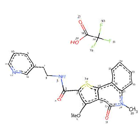 COc1c(C(=O)NCCc2cccnc2)sc2c1c(=O)n(C)c1ccccc21.O=C(O)C(F)(F)F